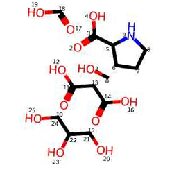 CO.O=C(O)C1CCCN1.O=C(O)CC(=O)O.O=CO.OCC(O)CO